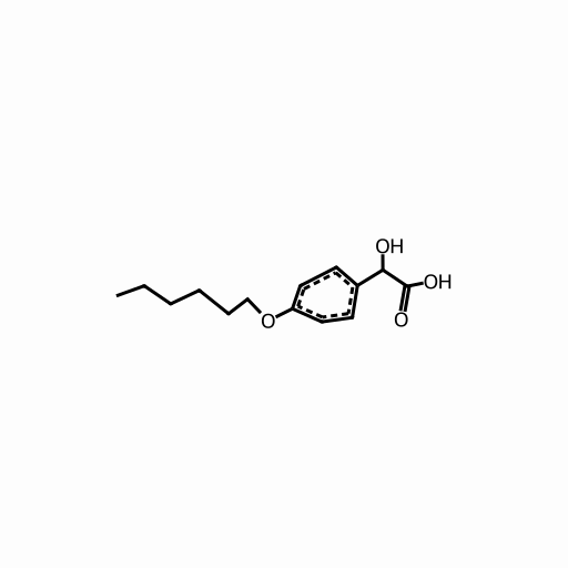 CCCCCCOc1ccc(C(O)C(=O)O)cc1